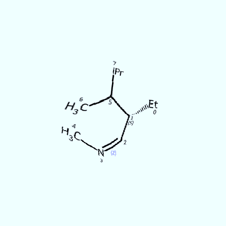 CC[C@H](/C=N\C)C(C)C(C)C